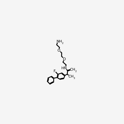 C=C(NCCOCCOCCN)C(C)c1ccc(-c2ccccc2)c(F)c1